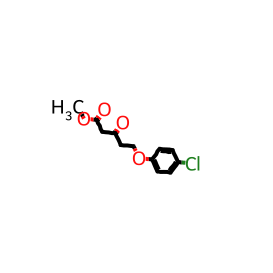 COC(=O)CC(=O)CCOc1ccc(Cl)cc1